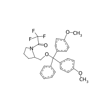 COc1ccc(C(OCC2CCCN2C(=O)C(F)(F)F)(c2ccccc2)c2ccc(OC)cc2)cc1